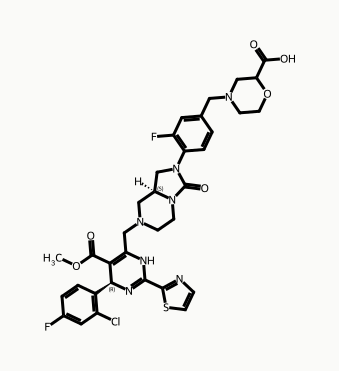 COC(=O)C1=C(CN2CCN3C(=O)N(c4ccc(CN5CCOC(C(=O)O)C5)cc4F)C[C@@H]3C2)NC(c2nccs2)=N[C@H]1c1ccc(F)cc1Cl